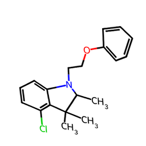 CC1N(CCOc2ccccc2)c2cccc(Cl)c2C1(C)C